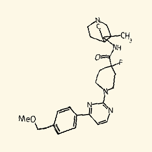 COCc1ccc(-c2ccnc(N3CCC(F)(C(=O)NC4(C)CN5CCC4CC5)CC3)n2)cc1